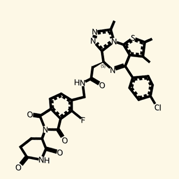 Cc1sc2c(c1C)C(c1ccc(Cl)cc1)=N[C@@H](CC(=O)NCc1ccc3c(c1F)C(=O)N(C1CCC(=O)NC1=O)C3=O)c1nnc(C)n1-2